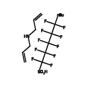 C=CCNCC=C.CCCCC(F)(F)C(F)(F)C(F)(F)C(F)(F)C(F)(F)S(=O)(=O)O